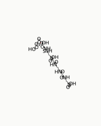 CC(=O)N(O)CCCCCNC(=O)CCC(=O)NCCCCCNC(=O)CCC(=O)N(O)CCCCCNC(=S)Nc1ccc(-c2c3ccc(=O)cc-3oc3cc(O)ccc23)c(C(=O)O)c1